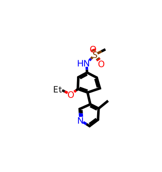 CCOc1cc(NS(C)(=O)=O)ccc1-c1cnccc1C